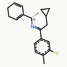 Cc1ccc(C(CC2CC2)=N[C@@H](C)C2=CCCC=C2)cc1F